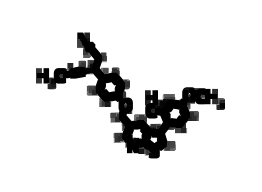 CC#C[C@@H](CC#N)c1ccc(OCc2cnc3scc(-c4ccc(OC)cc4C)c3c2)cc1